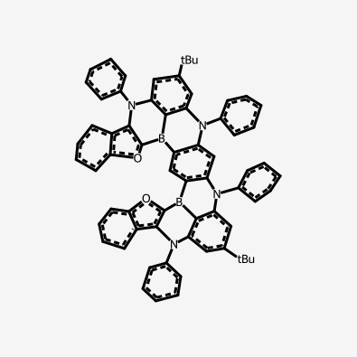 CC(C)(C)c1cc2c3c(c1)N(c1ccccc1)c1c(oc4ccccc14)B3c1cc3c(cc1N2c1ccccc1)N(c1ccccc1)c1cc(C(C)(C)C)cc2c1B3c1oc3ccccc3c1N2c1ccccc1